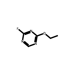 CCOc1n[c]nc(F)n1